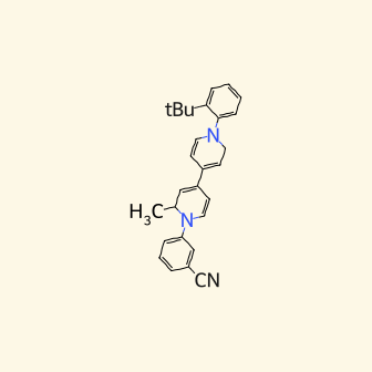 CC1C=C(C2=CCN(c3ccccc3C(C)(C)C)C=C2)C=CN1c1cccc(C#N)c1